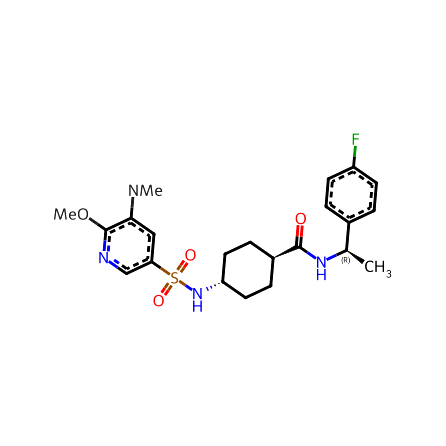 CNc1cc(S(=O)(=O)N[C@H]2CC[C@H](C(=O)N[C@H](C)c3ccc(F)cc3)CC2)cnc1OC